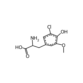 COc1cc(CC(N)C(=O)O)cc(Cl)c1O